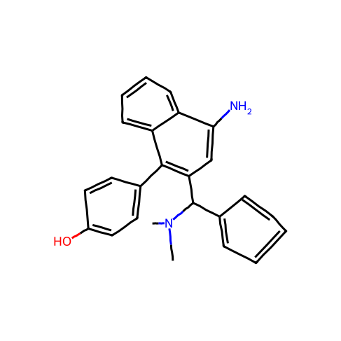 CN(C)C(c1ccccc1)c1cc(N)c2ccccc2c1-c1ccc(O)cc1